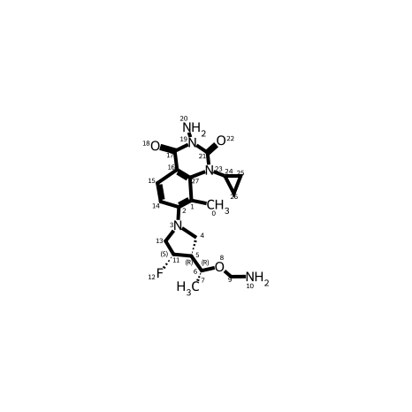 Cc1c(N2C[C@H]([C@@H](C)OCN)[C@H](F)C2)ccc2c(=O)n(N)c(=O)n(C3CC3)c12